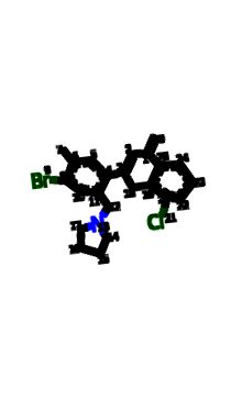 C=C1C=C(c2cc(C)c(Br)cc2CN2CCCC2)Cc2c(Cl)cccc21